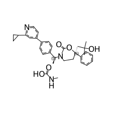 CNC(=O)O.C[C@@H](c1ccc(-c2ccnc(C3CC3)c2)cc1)N1CC[C@](CC(C)(C)O)(c2ccccc2)OC1=O